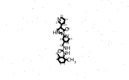 Cc1cccc(I)c1NC(=O)NCc1ccnc(-n2[nH]cc(-c3cccnc3)c2=O)c1